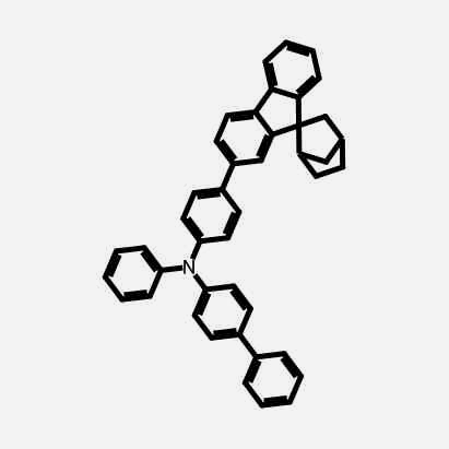 c1ccc(-c2ccc(N(c3ccccc3)c3ccc(-c4ccc5c(c4)C4(CC6CCC4C6)c4ccccc4-5)cc3)cc2)cc1